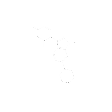 Cn1nc(-n2ccc(=O)[nH]c2=O)c2ccc(C3CCNCC3)cc21